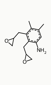 Cc1cc(N)c(CC2CO2)c(CC2CO2)c1C